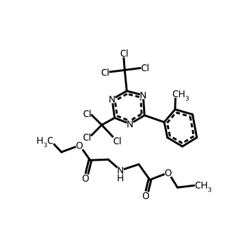 CCOC(=O)CNCC(=O)OCC.Cc1ccccc1-c1nc(C(Cl)(Cl)Cl)nc(C(Cl)(Cl)Cl)n1